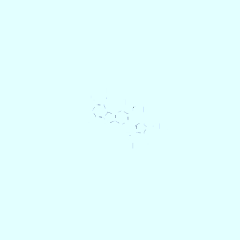 Cc1sc(-c2c(C)c(C)c3c(oc4c(C)c(C)c(C)c(C)c43)c2C)c(C)c1C